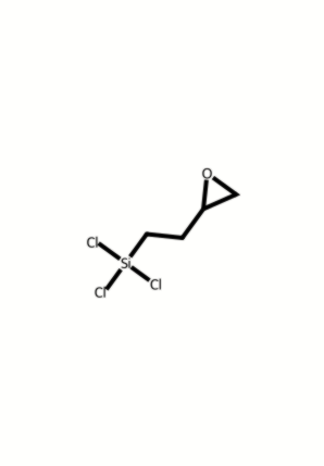 Cl[Si](Cl)(Cl)CCC1CO1